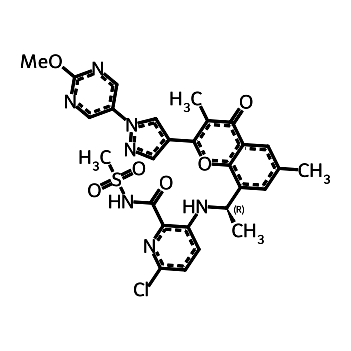 COc1ncc(-n2cc(-c3oc4c([C@@H](C)Nc5ccc(Cl)nc5C(=O)NS(C)(=O)=O)cc(C)cc4c(=O)c3C)cn2)cn1